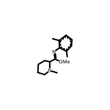 CO/C(=N\c1c(C)cccc1C)C1CCCCN1C